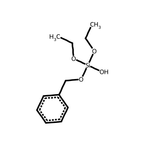 CCO[Si](O)(OCC)OCc1ccccc1